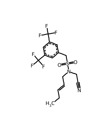 CCC=CCN(CC#N)S(=O)(=O)Cc1cc(C(F)(F)F)cc(C(F)(F)F)c1